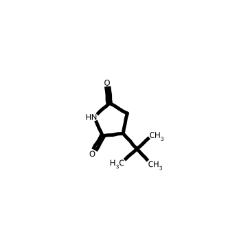 CC(C)(C)C1CC(=O)NC1=O